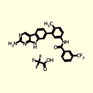 Cc1ccc(NC(=O)c2cccc(C(F)(F)F)c2)cc1-c1ccc2c(c1)[nH]c1nc(N)ncc12.O=C(O)C(F)(F)F